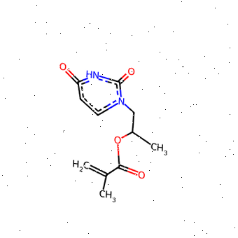 C=C(C)C(=O)OC(C)Cn1ccc(=O)[nH]c1=O